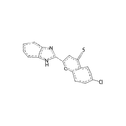 S=c1cc(-c2nc3ccccc3[nH]2)oc2ccc(Cl)cc12